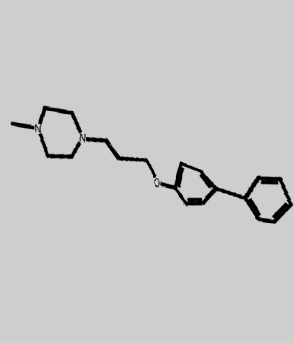 CN1CCN(CCCOc2[c]cc(-c3ccccc3)cc2)CC1